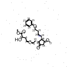 COC(=O)C(O)CC=C=CC[C@H]1C(=O)C[C@@H](OC)[C@@H]1/C=C/CCOc1ccccc1